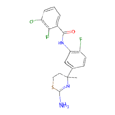 CC1(c2ccc(F)c(NC(=O)c3cccc(Cl)c3F)c2)CCSC(N)=N1